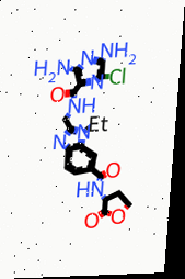 CCn1c(CNC(=O)c2nc(Cl)c(N)nc2N)nc2ccc(C(=O)NC3CCOC3=O)cc21